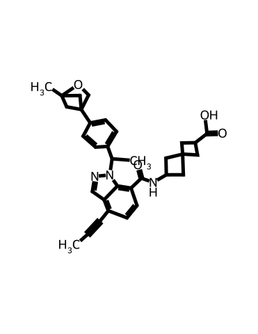 CC#Cc1ccc(C(=O)NC2CC3(C2)CC(C(=O)O)C3)c2c1cnn2C(C)c1ccc(C23COC(C)(C2)C3)cc1